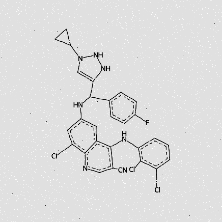 N#Cc1cnc2c(Cl)cc(NC(C3=CN(C4CC4)NN3)c3ccc(F)cc3)cc2c1Nc1cccc(Cl)c1Cl